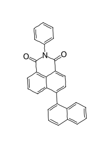 O=C1c2cccc3c(-c4cccc5ccccc45)ccc(c23)C(=O)N1c1ccccc1